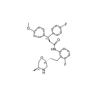 [CH2][C@H]1CO[C@H](CCc2c(F)cccc2NC(=O)C[C@H](c2ccc(F)cc2)c2ccc(OC)cc2)CN1